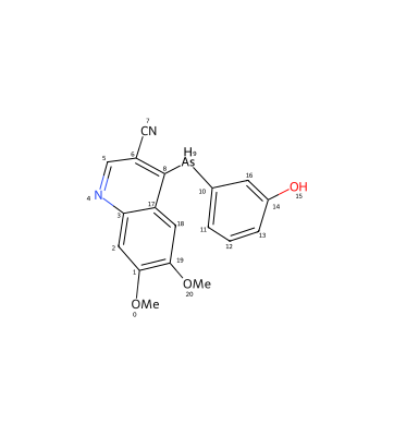 COc1cc2ncc(C#N)c([AsH]c3cccc(O)c3)c2cc1OC